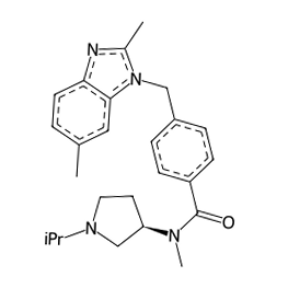 Cc1ccc2nc(C)n(Cc3ccc(C(=O)N(C)[C@@H]4CCN(C(C)C)C4)cc3)c2c1